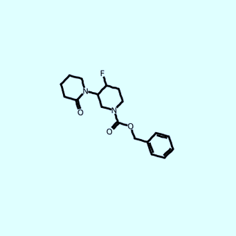 O=C(OCc1ccccc1)N1CCC(F)C(N2CCCCC2=O)C1